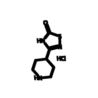 Cl.O=c1[nH]c(C2CCNCC2)ns1